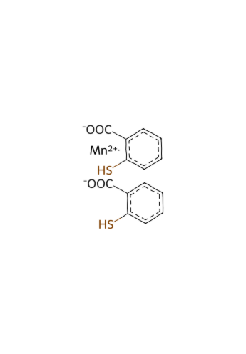 O=C([O-])c1ccccc1S.O=C([O-])c1ccccc1S.[Mn+2]